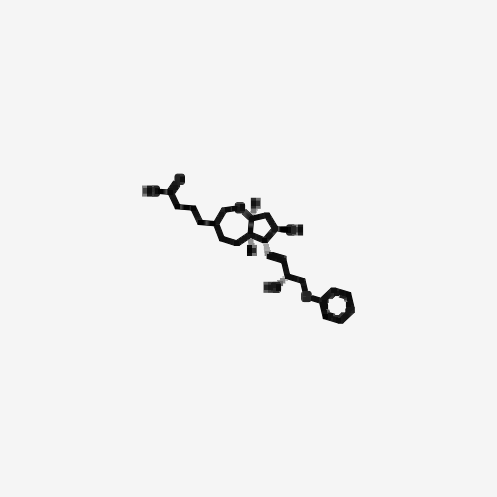 O=C(O)CCCC1CC[C@@H]2[C@@H](/C=C/[C@@H](O)COc3ccccc3)[C@H](O)C[C@@H]2OC1